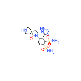 NS(=O)(=O)c1ccc(N2CCC3(CCNCC3)C2=O)c(-c2nn[nH]n2)c1S(N)(=O)=O